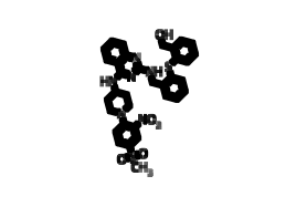 CS(=O)(=O)c1ccc(N2CCC(Nc3nc(NCc4ccccc4Sc4ccccc4CO)nc4ccccc34)CC2)c([N+](=O)[O-])c1